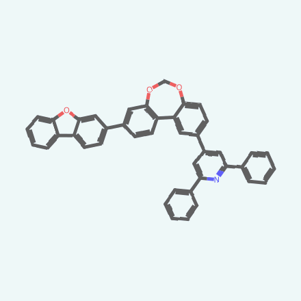 c1ccc(-c2cc(-c3ccc4c(c3)-c3ccc(-c5ccc6c(c5)oc5ccccc56)cc3OCO4)cc(-c3ccccc3)n2)cc1